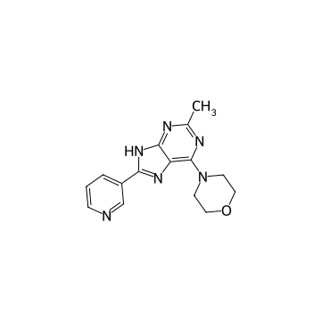 Cc1nc(N2CCOCC2)c2nc(-c3cccnc3)[nH]c2n1